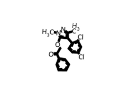 Cc1nn(C)c(OCC(=O)c2ccccc2)c1-c1ccc(Cl)cc1Cl